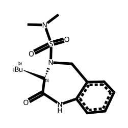 CC[C@H](C)[C@H]1C(=O)Nc2ccccc2CN1S(=O)(=O)N(C)C